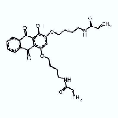 C=CC(=O)NCCCCOc1cc(OCCCCNC(=O)C=C)c2c(c1O)C(=O)c1ccccc1C2=O